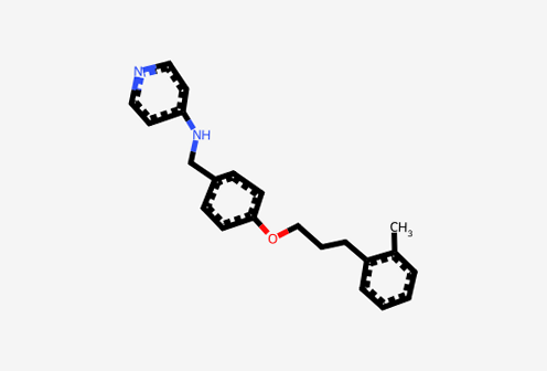 Cc1ccccc1CCCOc1ccc(CNc2ccncc2)cc1